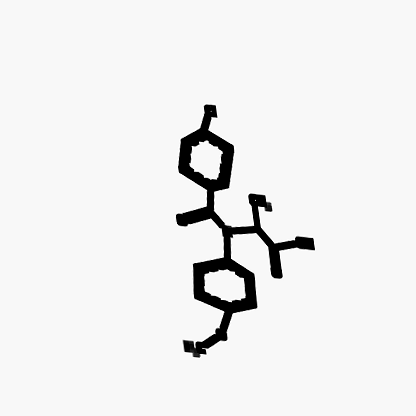 COc1ccc(N(C(=O)c2ccc(Cl)cc2)C(C)C(=O)O)cc1